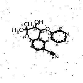 CC1(C)Oc2ccc(C#N)cc2C(Oc2cccnc2)C1O